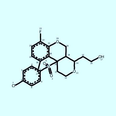 O=S(=O)(c1ccc(Cl)cc1)C12CCOC(CCO)C1COc1c(F)ccc(F)c12